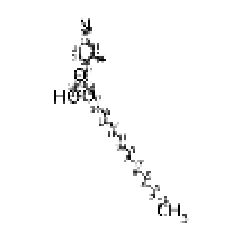 CCCCCCCCCCCCCCCCCCOC[C@H](CO)OCc1ccc(C#N)cc1F